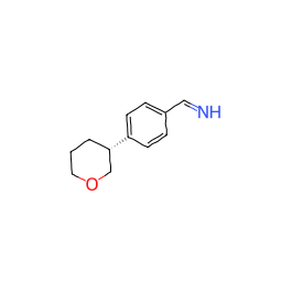 N=Cc1ccc([C@H]2CCCOC2)cc1